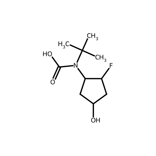 CC(C)(C)N(C(=O)O)C1CC(O)CC1F